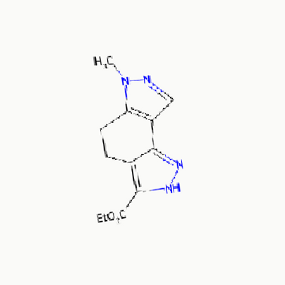 CCOC(=O)c1[nH]nc2c1CCc1c-2cnn1C